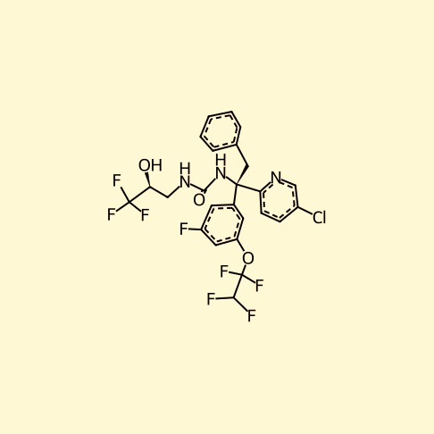 O=C(NC[C@H](O)C(F)(F)F)N[C@@](Cc1ccccc1)(c1cc(F)cc(OC(F)(F)C(F)F)c1)c1ccc(Cl)cn1